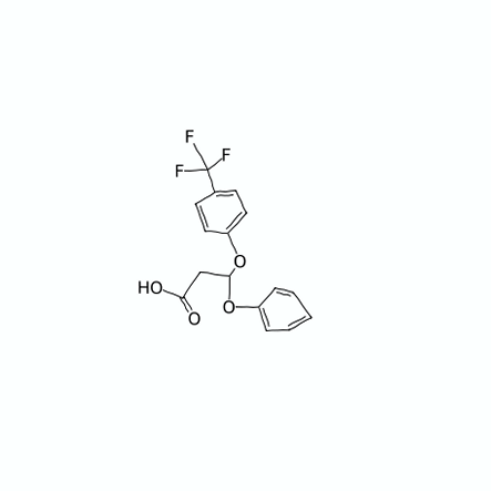 O=C(O)CC(Oc1ccccc1)Oc1ccc(C(F)(F)F)cc1